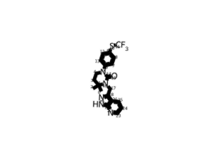 CC1(C)CCN(c2ccc(SC(F)(F)F)cc2)C(=O)N1Cc1n[nH]c2ncccc12